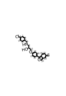 O[C@H](CNCc1ccc(Cl)cc1)COc1ccc(-c2occ3cc(F)ccc23)cc1